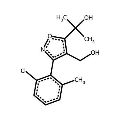 Cc1cccc(Cl)c1-c1noc(C(C)(C)O)c1CO